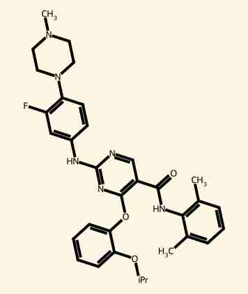 Cc1cccc(C)c1NC(=O)c1cnc(Nc2ccc(N3CCN(C)CC3)c(F)c2)nc1Oc1ccccc1OC(C)C